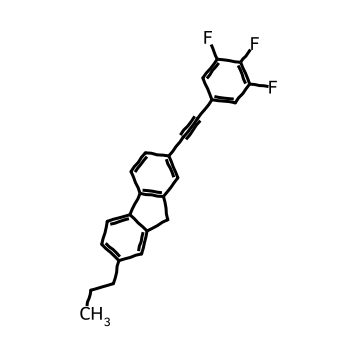 CCCc1ccc2c(c1)Cc1cc(C#Cc3cc(F)c(F)c(F)c3)ccc1-2